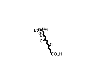 CCO[Si](CCCC(Cl)CCC(Cl)CCCC(=O)O)(OCC)OCC